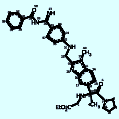 CCOC(=O)CN[C@@](C)(C(=O)N1CCCC1)c1ccc2c(c1)nc(CNc1ccc(C(=N)NC(=O)c3ccccc3)cc1)n2C